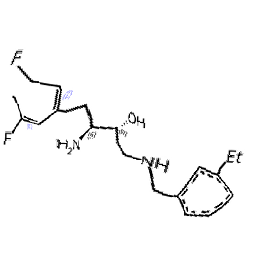 CCc1cccc(CNC[C@@H](O)[C@@H](N)CC(=C/CF)/C=C(\C)F)c1